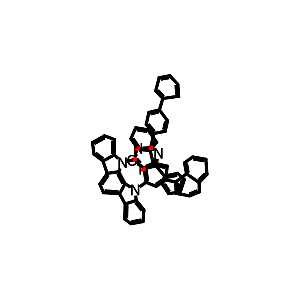 c1ccc(-c2ccc(-c3nc(-c4ccccc4)nc(-n4c5ccccc5c5ccc6c7ccccc7n(-c7cc(-c8cccc9ccccc89)cc8c7oc7ccccc78)c6c54)n3)cc2)cc1